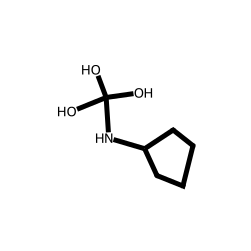 OC(O)(O)NC1CCCC1